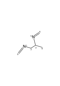 C=NCC(C)N=C